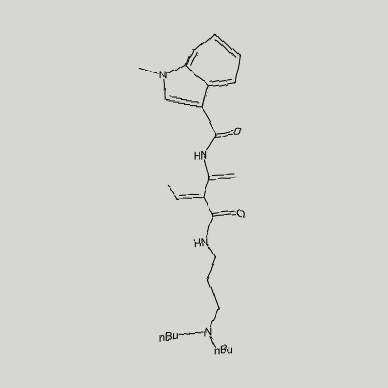 C=C(NC(=O)c1cn(C)c2ccccc12)/C(=C\C)C(=O)NCCCN(CCCC)CCCC